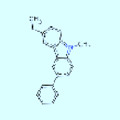 CCc1ccc2c(c1)c1cc(-c3ccccc3)ccc1n2C